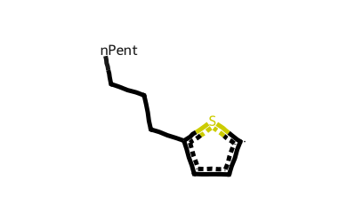 CCCCCCCCc1cc[c]s1